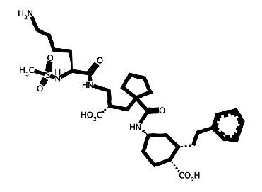 CS(=O)(=O)N[C@@H](CCCCN)C(=O)NC[C@H](CC1(C(=O)N[C@H]2CC[C@@H](C(=O)O)[C@@H](CCc3ccccc3)C2)CCCC1)C(=O)O